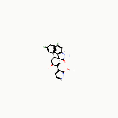 COc1ncccc1C1=C[C@@]2(C(=O)Nc3cc(Cl)ccc32)[C@H](c2cccc(Cl)c2)CC1=O